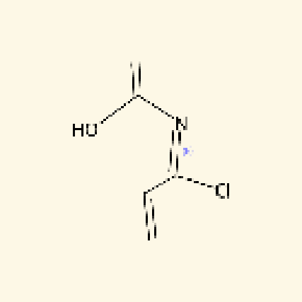 C=C/C(Cl)=N\C(=C)O